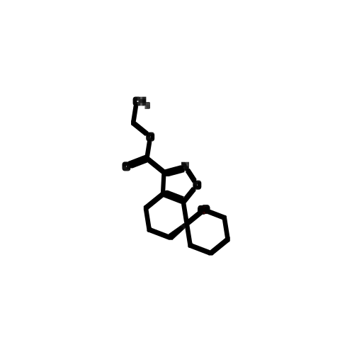 CCOC(=O)c1noc2c1CCC[C@@]21CCCCC12OCCO2